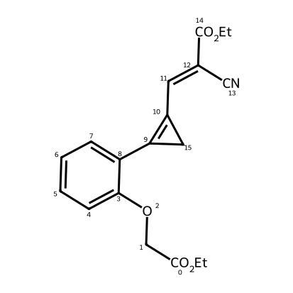 CCOC(=O)COc1ccccc1C1=C(/C=C(\C#N)C(=O)OCC)C1